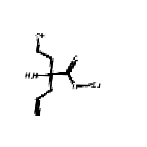 C=CCC(N)(CCO)C(=O)OC(C)(C)C